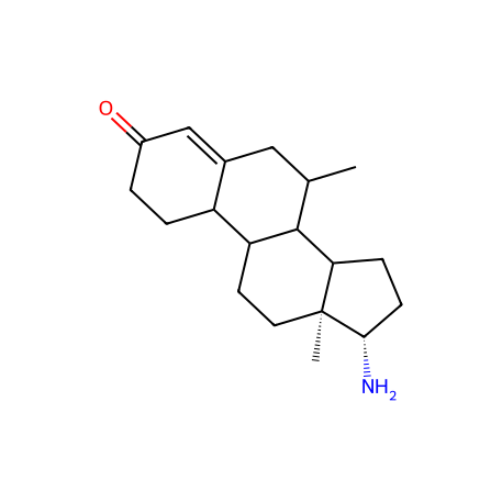 CC1CC2=CC(=O)CCC2C2CC[C@@]3(C)C(CC[C@@H]3N)C12